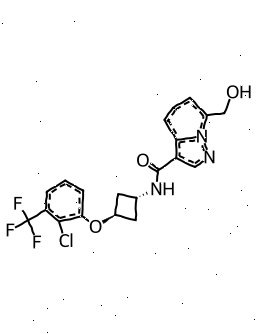 O=C(N[C@H]1C[C@H](Oc2cccc(C(F)(F)F)c2Cl)C1)c1cnn2c(CO)cccc12